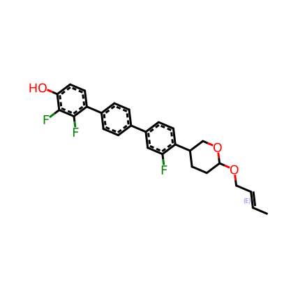 C/C=C/COC1CCC(c2ccc(-c3ccc(-c4ccc(O)c(F)c4F)cc3)cc2F)CO1